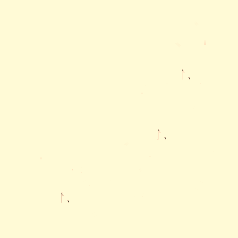 c1ccc(-c2cccc(N(c3ccc4c(c3)oc3ccc5nc(-c6ccccc6)oc5c34)c3cccc4c3c3ccccc3n4-c3ccccc3)c2)cc1